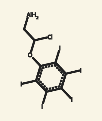 [AlH2][CH2]C(Cl)Oc1c(I)c(I)c(I)c(I)c1I